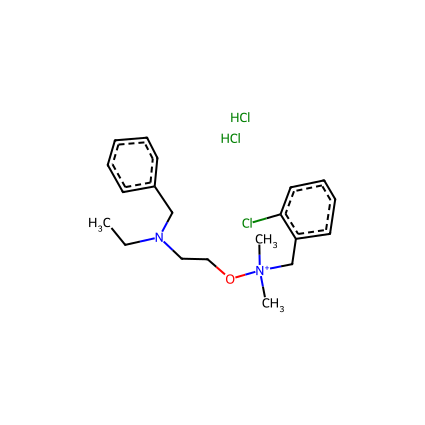 CCN(CCO[N+](C)(C)Cc1ccccc1Cl)Cc1ccccc1.Cl.Cl